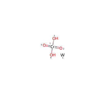 [O]=[Cr](=[O])([OH])[OH].[W]